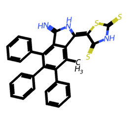 Cc1c2c(c(-c3ccccc3)c(-c3ccccc3)c1-c1ccccc1)C(=N)NC2=C1SC(=S)NC1=S